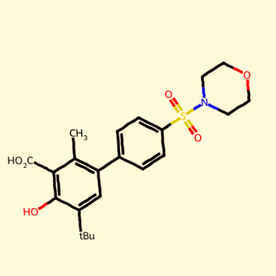 Cc1c(-c2ccc(S(=O)(=O)N3CCOCC3)cc2)cc(C(C)(C)C)c(O)c1C(=O)O